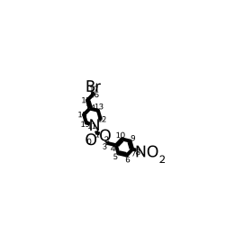 O=C(OCc1ccc([N+](=O)[O-])cc1)N1CCC(=CCBr)CC1